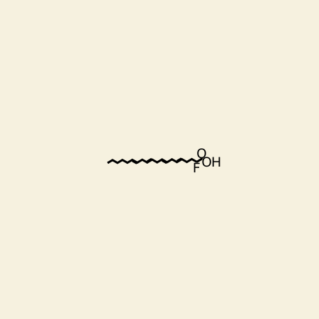 CCCCCC=CCC=CCC=CCC=CCCC(F)C(=O)O